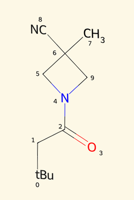 CC(C)(C)CC(=O)N1CC(C)(C#N)C1